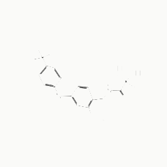 Cc1cc(Nc2ccc(C(C)(C)C)cc2)ccc1CN(O)C(=O)C(C)(C)C